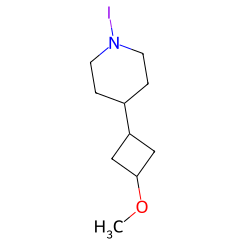 COC1CC(C2CCN(I)CC2)C1